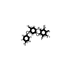 Cc1c(F)c(F)c(Oc2ccc(I)c(Oc3ccc(I)cc3)c2)c(F)c1F